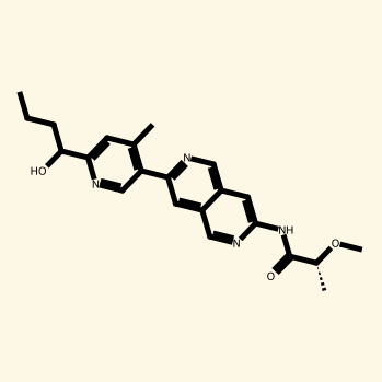 CCCC(O)c1cc(C)c(-c2cc3cnc(NC(=O)[C@@H](C)OC)cc3cn2)cn1